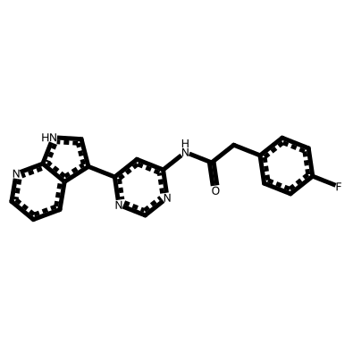 O=C(Cc1ccc(F)cc1)Nc1cc(-c2c[nH]c3ncccc23)ncn1